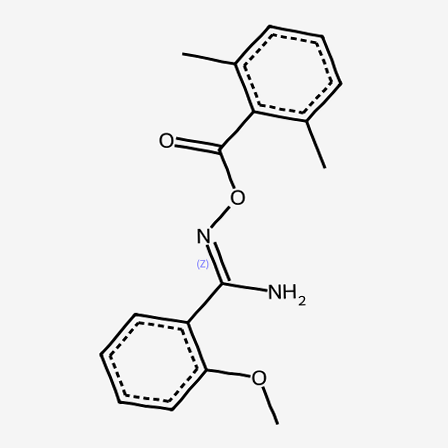 COc1ccccc1/C(N)=N/OC(=O)c1c(C)cccc1C